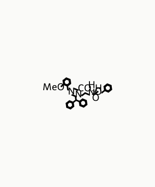 COc1ccccc1CN1CC(C(c2ccccc2)c2ccccc2)N(CCCNC(=O)OCc2ccccc2)[C@@H](C(=O)O)C1